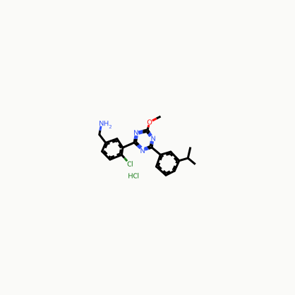 COc1nc(-c2cccc(C(C)C)c2)nc(-c2cc(CN)ccc2Cl)n1.Cl